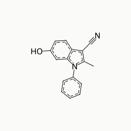 Cc1c(C#N)c2ccc(O)cc2n1-c1ccccc1